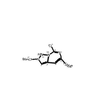 CON1C=C2C=C(SC)N=C(Cl)N2N1